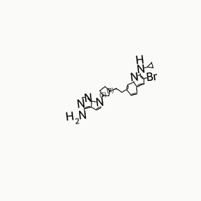 Nc1ncnc2c1ccn2[C@H]1CC[C@@H](CCc2ccc3cc(Br)c(NC4CC4)nc3c2)C1